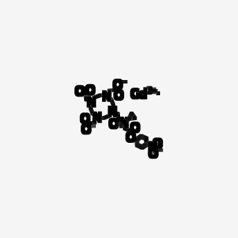 O=C([O-])CN1CCN(CC(=O)[O-])CCN(CC(=O)N(CC(=O)Oc2ccc([N+](=O)[O-])cc2)C2CC2)CCN(CC(=O)[O-])CC1.[Gd+3]